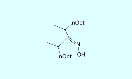 CCCCCCCCC(C)C(=NO)C(C)CCCCCCCC